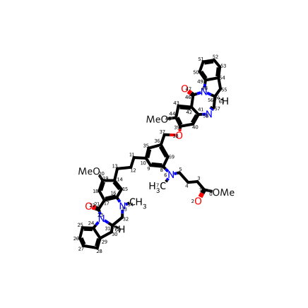 COC(=O)CCCN(C)c1cc(CCCc2cc3c(cc2OC)C(=O)N2c4ccccc4C[C@H]2CN3C)cc(COc2cc3c(cc2OC)C(=O)N2c4ccccc4C[C@H]2C=N3)c1